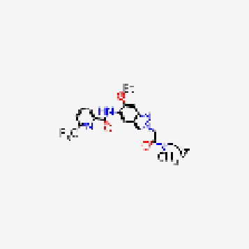 CCOc1cc2nn(CC(=O)N(C)CC3CC3)cc2cc1NC(=O)c1cccc(C(F)(F)F)n1